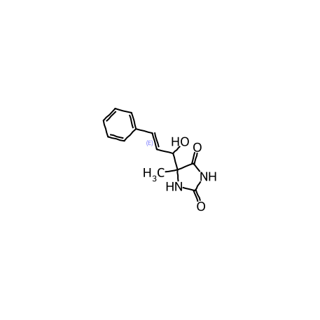 CC1(C(O)/C=C/c2ccccc2)NC(=O)NC1=O